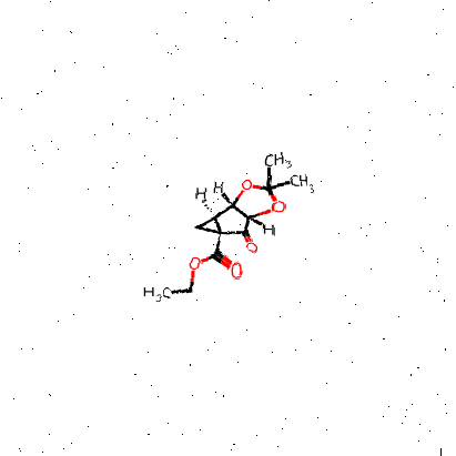 CCOC(=O)[C@@]12C[C@H]1[C@@H]1OC(C)(C)O[C@@H]1C2=O